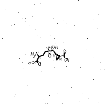 N[C@@H](CCP(=O)(O)[C@H](O)[C@@H]1C[C@H]1C(=O)O)C(=O)O